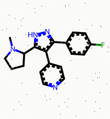 CN1CCCC1c1[nH]nc(-c2ccc(F)cc2)c1-c1ccncc1